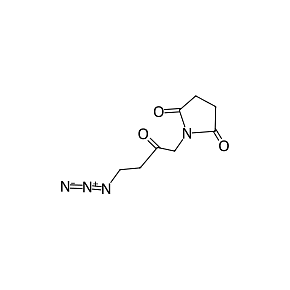 [N-]=[N+]=NCCC(=O)CN1C(=O)CCC1=O